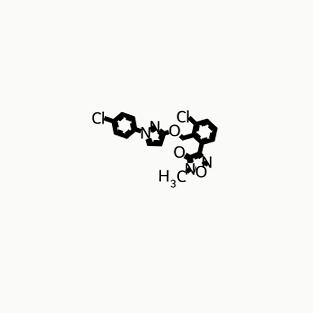 Cn1onc(-c2cccc(Cl)c2COc2ccn(-c3ccc(Cl)cc3)n2)c1=O